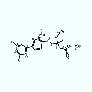 Cc1cc(-c2ccc(OCC(C)(CC(C)C)NC(=O)OC(C)(C)C)c(C(F)(F)F)c2)nc(C)n1